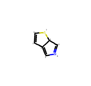 C1=CC2=CN=CC2S1